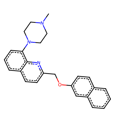 CN1CCN(c2cccc3ccc(COc4ccc5ccccc5c4)nc23)CC1